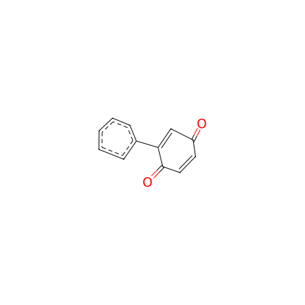 O=C1C=CC(=O)C(c2ccccc2)=C1